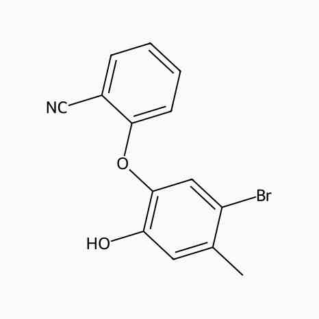 Cc1cc(O)c(Oc2ccccc2C#N)cc1Br